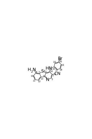 N#Cc1cnc2c(sc3c(N)cccc32)c1Nc1cccc(Br)c1